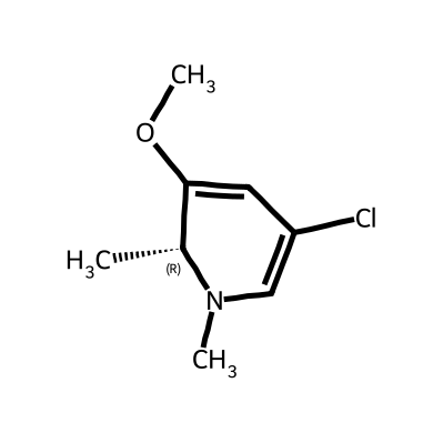 COC1=CC(Cl)=CN(C)[C@@H]1C